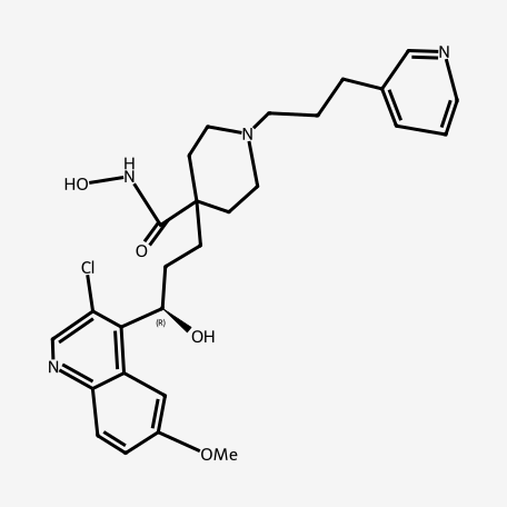 COc1ccc2ncc(Cl)c([C@H](O)CCC3(C(=O)NO)CCN(CCCc4cccnc4)CC3)c2c1